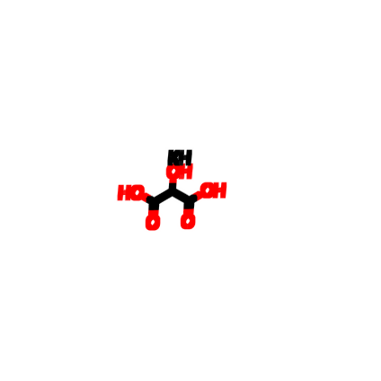 O=C(O)C(O)C(=O)O.[KH]